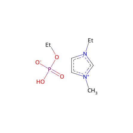 CCOP(=O)([O-])O.CCn1cc[n+](C)c1